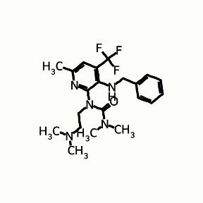 Cc1cc(C(F)(F)F)c(NCc2ccccc2)c(N(CCN(C)C)C(=O)N(C)C)n1